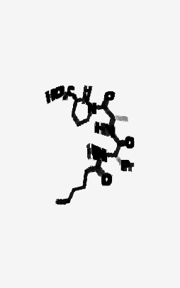 C=CCCCC(=O)N[C@H](C(=O)N[C@@H](C)C(=O)N1CCC[C@@H](C(=O)O)N1)C(C)C